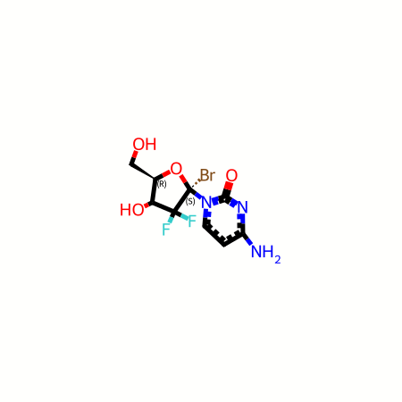 Nc1ccn([C@]2(Br)O[C@H](CO)C(O)C2(F)F)c(=O)n1